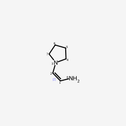 N/C=C\N1CCCC1